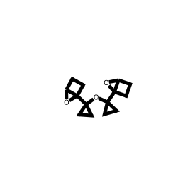 C1CC2(C3(OC4(C56CCC5O6)CC4)CC3)OC12